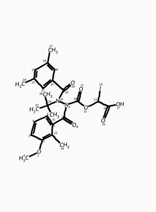 COc1cccc(C(=O)N(C(=O)OC(I)C(=O)O)N(C(=O)c2cc(C)cc(C)c2)C(C)(C)C)c1C